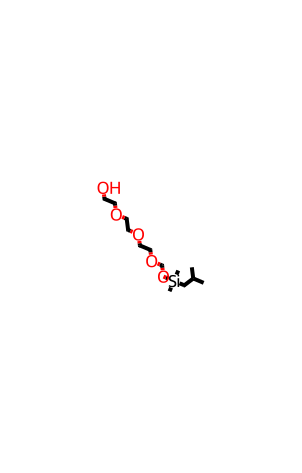 CC(C)C[Si](C)(C)OCOCCOCCOCCO